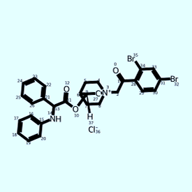 O=C(C[N+]12CCC(CC1)[C@@H](OC(=O)C(Nc1ccccc1)c1ccccc1)C2)c1ccc(Br)cc1Br.[Cl-]